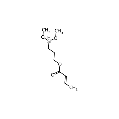 CC=CC(=O)OCCC[SiH](OC)OC